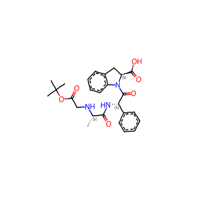 C[C@H](NCC(=O)OC(C)(C)C)C(=O)N[C@H](C(=O)N1c2ccccc2C[C@H]1C(=O)O)c1ccccc1